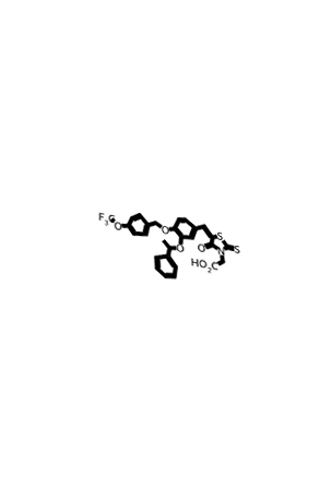 CC(Oc1cc(C=C2SC(=S)N(CC(=O)O)C2=O)ccc1OCc1ccc(OC(F)(F)F)cc1)c1ccccc1